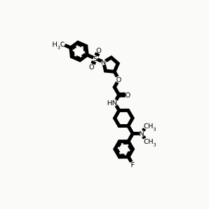 Cc1ccc(S(=O)(=O)N2CCC(OCC(=O)NC3CCC(C(c4cccc(F)c4)N(C)C)CC3)C2)cc1